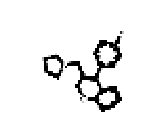 Fc1ccc(C2=C(CN3CCCC3)COc3ccccc32)cc1